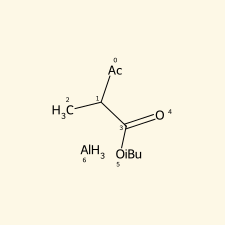 CC(=O)C(C)C(=O)OCC(C)C.[AlH3]